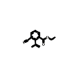 C=C(C)c1c(C#N)cccc1C(=O)OCC